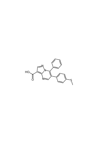 CSc1ccc(-c2cnc3c(C(=O)O)cnn3c2-c2ccccc2)cc1